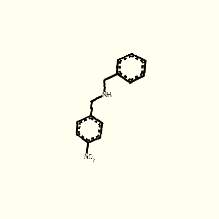 O=[N+]([O-])c1ccc(CNCc2ccccc2)cc1